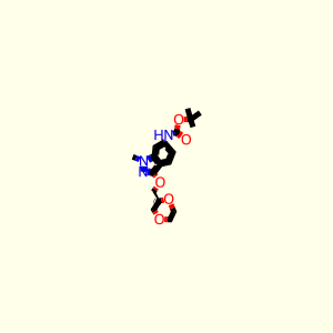 Cn1nc(OC[C@@H]2COCCO2)c2ccc(NC(=O)OC(C)(C)C)cc21